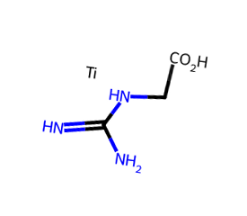 N=C(N)NCC(=O)O.[Ti]